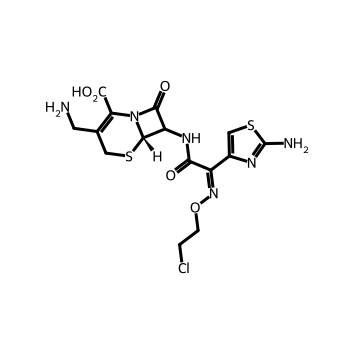 NCC1=C(C(=O)O)N2C(=O)C(NC(=O)/C(=N\OCCCl)c3csc(N)n3)[C@@H]2SC1